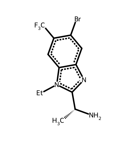 CCn1c([C@@H](C)N)nc2cc(Br)c(C(F)(F)F)cc21